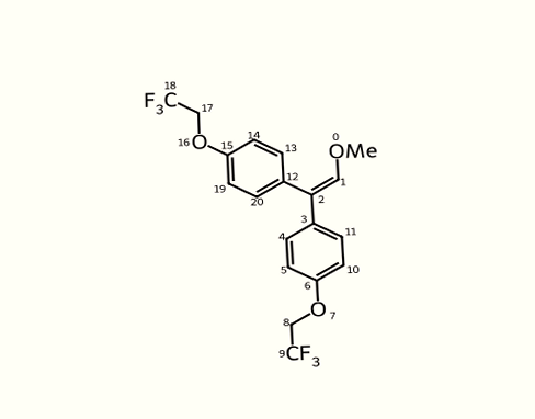 COC=C(c1ccc(OCC(F)(F)F)cc1)c1ccc(OCC(F)(F)F)cc1